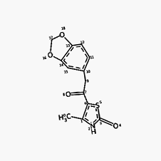 Cc1[nH]c(=O)sc1C(=O)Cc1ccc2c(c1)OCO2